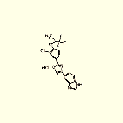 C[C@H](Oc1ccc(-c2nc(-c3ccc4[nH]cnc4c3)no2)cc1Cl)C(F)(F)F.Cl